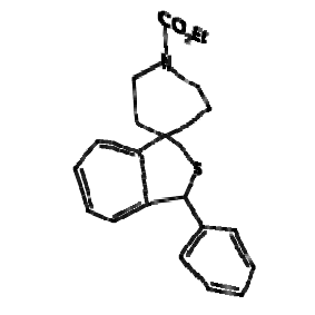 CCOC(=O)N1CCC2(CC1)SC(c1ccccc1)c1ccccc12